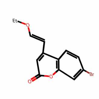 CCOC=Cc1cc(=O)oc2cc(Br)ccc12